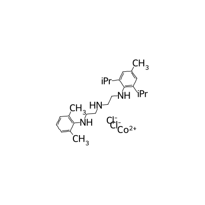 Cc1cc(C(C)C)c(NCCNCCNc2c(C)cccc2C)c(C(C)C)c1.[Cl-].[Cl-].[Co+2]